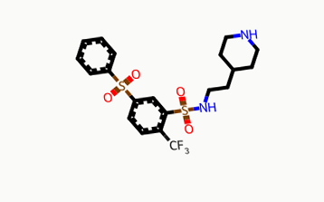 O=S(=O)(NCCC1CCNCC1)c1cc(S(=O)(=O)c2ccccc2)ccc1C(F)(F)F